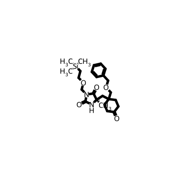 C[C@@]1(CC2(COCc3ccccc3)CCC(=O)CC2)NC(=O)N(COCC[Si](C)(C)C)C1=O